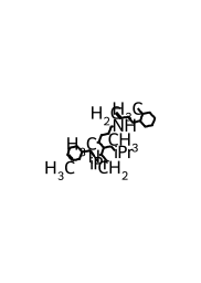 C=CC(C(C(C)CCCNC(=C)CCC1CCCCC1C)C(C)C(C)C)N(CC1CCC=C(C)C1)C(C)C